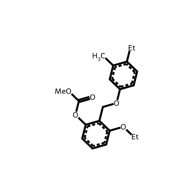 CCOc1cccc(OC(=O)OC)c1COc1ccc(CC)c(C)c1